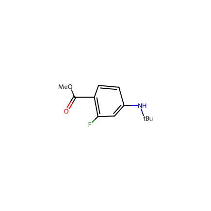 COC(=O)c1ccc(NC(C)(C)C)cc1F